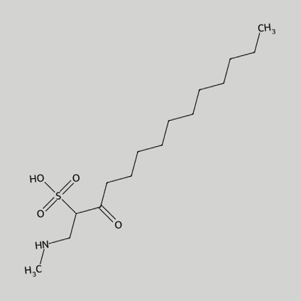 CCCCCCCCCCCC(=O)C(CNC)S(=O)(=O)O